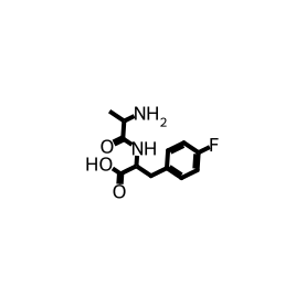 CC(N)C(=O)NC(Cc1ccc(F)cc1)C(=O)O